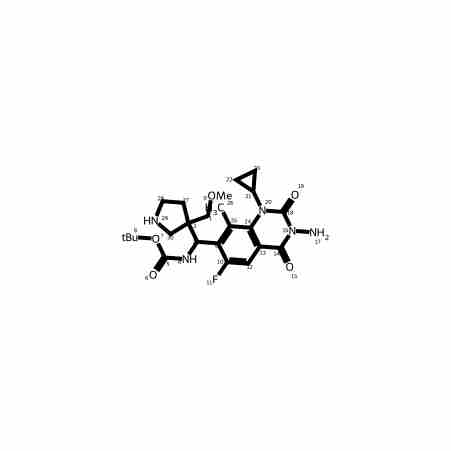 COCC1(C(NC(=O)OC(C)(C)C)c2c(F)cc3c(=O)n(N)c(=O)n(C4CC4)c3c2C)CCNC1